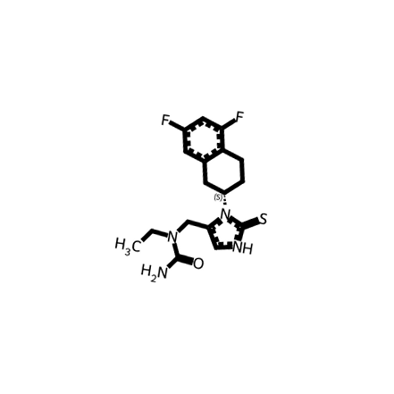 CCN(Cc1c[nH]c(=S)n1[C@H]1CCc2c(F)cc(F)cc2C1)C(N)=O